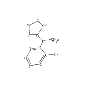 O=C(O)C(c1ccccc1Cl)C1CCCO1